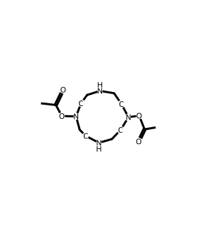 CC(=O)ON1CCNCCN(OC(C)=O)CCNCC1